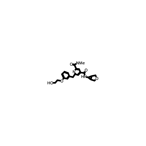 CNC(=O)c1cc(C(=O)NC2C3COCC32)cc(Cc2cccc(OCCO)c2)n1